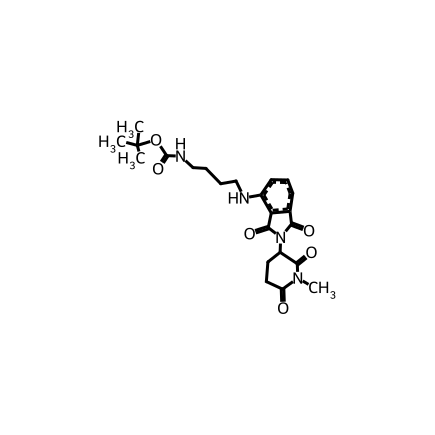 CN1C(=O)CCC(N2C(=O)c3cccc(NCCCCNC(=O)OC(C)(C)C)c3C2=O)C1=O